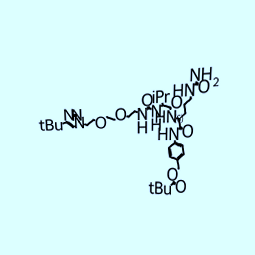 CC(C)C(NC(=O)NCCOCCOCCn1cc(C(C)(C)C)nn1)C(=O)N[C@@H](CCCNC(N)=O)C(=O)Nc1ccc(COC(=O)C(C)(C)C)cc1